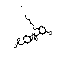 CCCCCOc1ccc(Cl)cc1C(=O)Nc1ccc(CC(=O)O)cc1